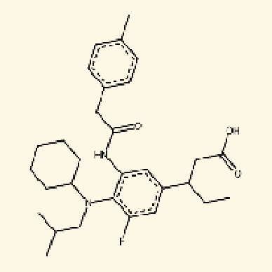 CCC(CC(=O)O)c1cc(F)c(N(CC(C)C)C2CCCCC2)c(NC(=O)Cc2ccc(C)cc2)c1